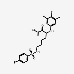 Cc1cc(NC(CCCCNS(=O)(=O)c2ccc(F)cc2)C(=O)NO)cc(C)c1F